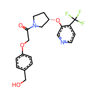 O=C(COc1ccc(CO)cc1)N1CC[C@H](Oc2cnccc2C(F)(F)F)C1